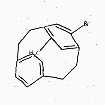 Cc1cc2c(Br)cc1CCc1ccc(cc1)CC2